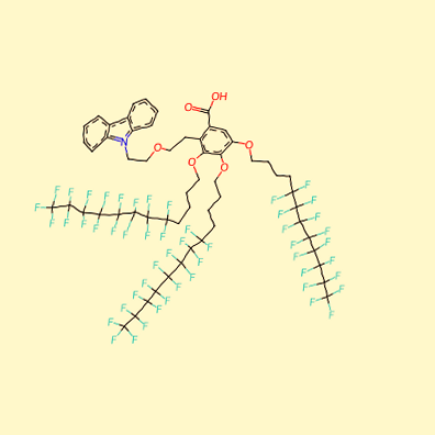 O=C(O)c1cc(OCCCCC(F)(F)C(F)(F)C(F)(F)C(F)(F)C(F)(F)C(F)(F)C(F)(F)C(F)(F)F)c(OCCCCC(F)(F)C(F)(F)C(F)(F)C(F)(F)C(F)(F)C(F)(F)C(F)(F)C(F)(F)F)c(OCCCCC(F)(F)C(F)(F)C(F)(F)C(F)(F)C(F)(F)C(F)(F)C(F)(F)C(F)(F)F)c1CCOCCn1c2ccccc2c2ccccc21